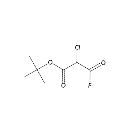 CC(C)(C)OC(=O)C(Cl)C(=O)F